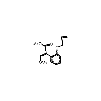 C=CCOc1ccccc1/C(=C\OC)C(=O)OC